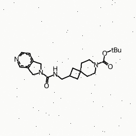 CC(C)(C)OC(=O)N1CCC2(CC1)CC(CNC(=O)N1Cc3ccncc3C1)C2